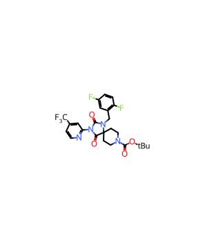 CC(C)(C)OC(=O)N1CCC2(CC1)C(=O)N(c1cc(C(F)(F)F)ccn1)C(=O)N2Cc1cc(F)ccc1F